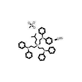 CC(C)CC[P+](CCP(c1ccccc1)c1ccccc1)(CCP(c1ccccc1)c1ccccc1)CCP(c1ccccc1)c1ccccc1.CS(=O)(=O)[O-].[C]=O.[Rh]